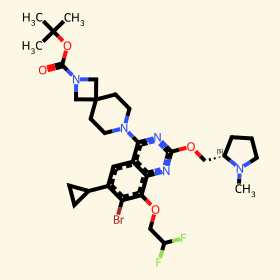 CN1CCC[C@H]1COc1nc(N2CCC3(CC2)CN(C(=O)OC(C)(C)C)C3)c2cc(C3CC3)c(Br)c(OCC(F)F)c2n1